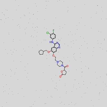 O=C1CCC(C(=O)N2CCN(CCOc3cc4ncnc(Nc5ccc(F)c(Cl)c5)c4cc3OCC3CCCC3)CC2)O1